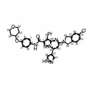 CC(C)c1c(C(=O)Nc2ccc(OC3CCOCC3)cc2)nn2c(-c3cn[nH]c3)cc(N3Cc4ccc(Cl)cc4C3)nc12